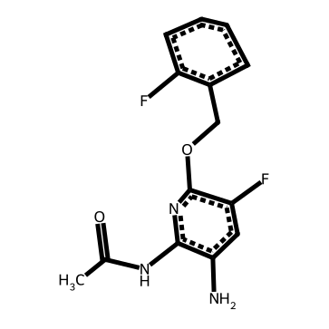 CC(=O)Nc1nc(OCc2ccccc2F)c(F)cc1N